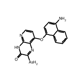 Nc1ccc(Oc2ccnc3[nH]c(=O)c([AsH2])nc23)c2ccccc12